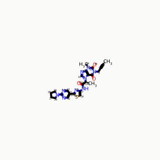 CC#CCn1c(=O)c2c(ncn2[C@@H](C)C(=O)Nc2csc(-c3cnc(N4CCCC4)nc3)n2)n(C)c1=O